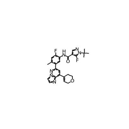 Cc1cc(F)c(NC(=O)c2cnn(C(C)(C)C)c2F)cc1-c1cc(C2=CCOCC2)c2nccn2n1